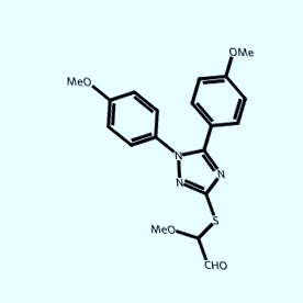 COc1ccc(-c2nc(SC(C=O)OC)nn2-c2ccc(OC)cc2)cc1